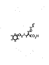 C=CCOCC(=CCCOc1ccccc1)C(=O)O